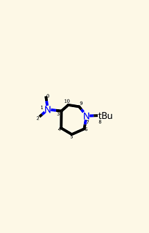 CN(C)C1CCCN(C(C)(C)C)CC1